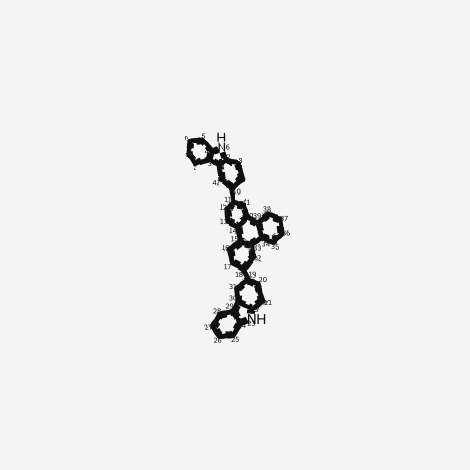 c1ccc2c(c1)[nH]c1ccc(-c3ccc4c5ccc(-c6ccc7[nH]c8ccccc8c7c6)cc5c5ccccc5c4c3)cc12